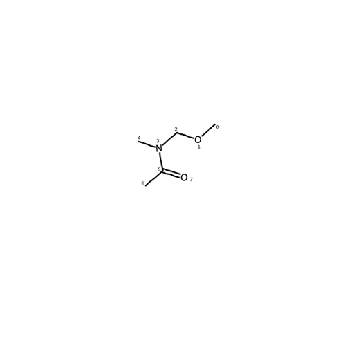 COCN(C)C(C)=O